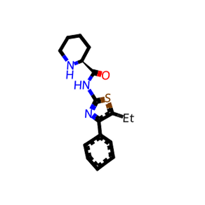 CCc1sc(NC(=O)[C@@H]2CCCCN2)nc1-c1ccccc1